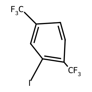 FC(F)(F)c1ccc(C(F)(F)F)c(I)c1